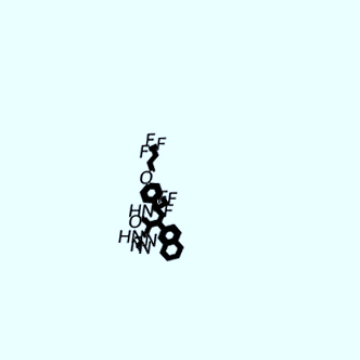 O=C1NC(c2ccc(OCCCC(F)(F)F)cc2)(C(F)(F)F)CC(c2ccc3c(c2)CCCC3)=C1c1nnn[nH]1